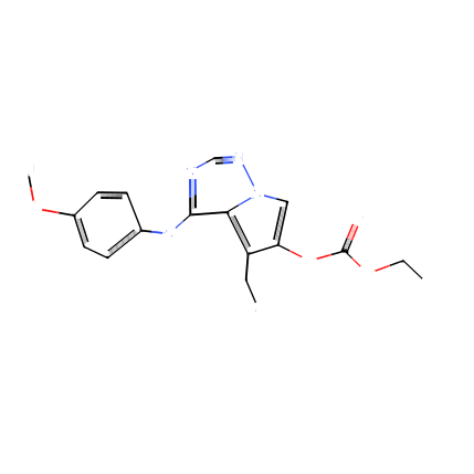 CCOC(=O)Oc1cn2ncnc(Nc3ccc(OC)cc3)c2c1CC